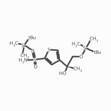 CC(C)(C)[Si](C)(C)N=S(N)(=O)c1cc([C@@](C)(O)CO[Si](C)(C)C(C)(C)C)cs1